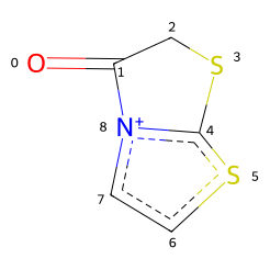 O=C1CSc2scc[n+]21